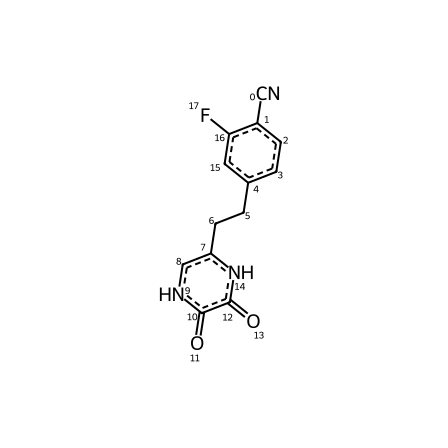 N#Cc1ccc(CCc2c[nH]c(=O)c(=O)[nH]2)cc1F